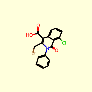 O=C(O)c1c(CBr)n(-c2ccccc2)c(=O)c2c(Cl)cccc12